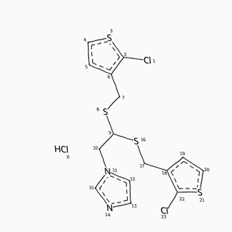 Cl.Clc1sccc1CSC(Cn1ccnc1)SCc1ccsc1Cl